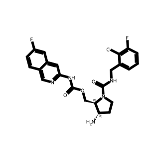 N[C@H]1CCN(C(=O)NCc2cccc(F)c2Cl)[C@@H]1COC(=O)Nc1cc2cc(F)ccc2cn1